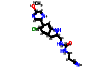 COc1cnc(-c2cc3[nH]c(CNC(=O)NCCC#N)cc3cc2Cl)cn1